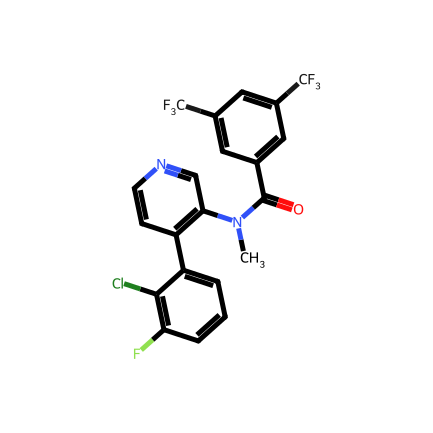 CN(C(=O)c1cc(C(F)(F)F)cc(C(F)(F)F)c1)c1cnccc1-c1cccc(F)c1Cl